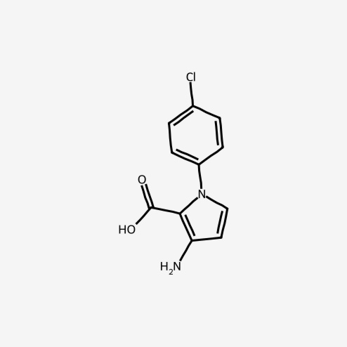 Nc1ccn(-c2ccc(Cl)cc2)c1C(=O)O